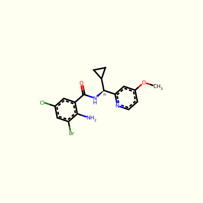 COc1ccnc([C@@H](NC(=O)c2cc(Cl)cc(Br)c2N)C2CC2)c1